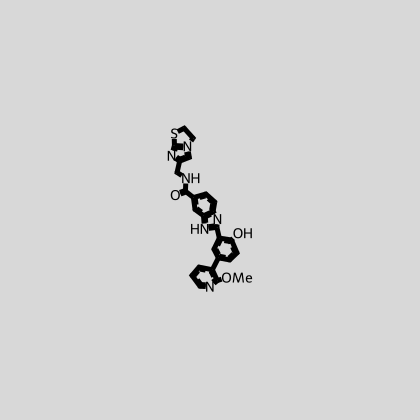 COc1ncccc1-c1ccc(O)c(-c2nc3ccc(C(=O)NCc4cn5c(n4)SCC5)cc3[nH]2)c1